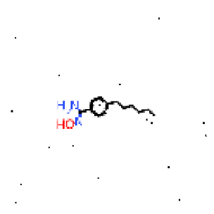 CCCCCCc1ccc(/C(N)=N/O)cc1